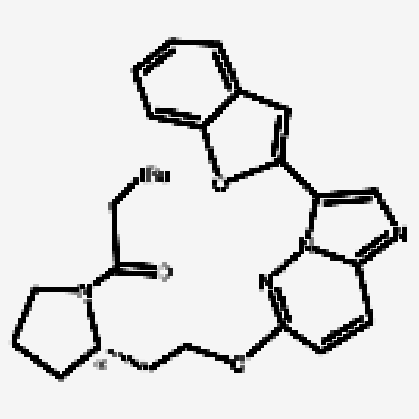 CC(C)(C)CC(=O)N1CCC[C@H]1CCOc1ccc2ncc(-c3cc4ccccc4o3)n2n1